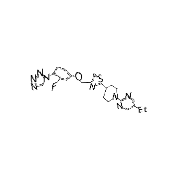 CCc1cnc(N2CCC(c3nc(COc4ccc(-n5cnnn5)c(F)c4)cs3)CC2)nc1